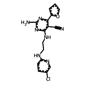 N#Cc1c(NCCNc2ccc(Cl)cn2)nc(N)nc1-c1ccco1